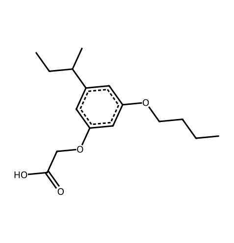 CCCCOc1cc(OCC(=O)O)cc(C(C)CC)c1